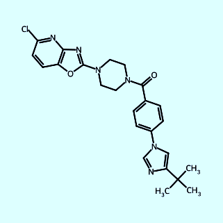 CC(C)(C)c1cn(-c2ccc(C(=O)N3CCN(c4nc5nc(Cl)ccc5o4)CC3)cc2)cn1